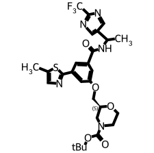 Cc1cnc(-c2cc(OC[C@@H]3CN(C(=O)OC(C)(C)C)CCO3)cc(C(=O)NC(C)c3cnc(C(F)(F)F)nc3)c2)s1